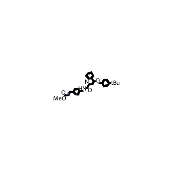 COC(=O)/C=C/c1ccc(CNC(=O)c2cc(OCc3ccc(C(C)(C)C)cc3)c3ccccc3n2)cc1